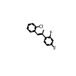 CC(=Cc1ccccc1Cl)c1ccc(F)cc1F